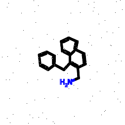 NCc1ccc2ccccc2c1Cc1ccccc1